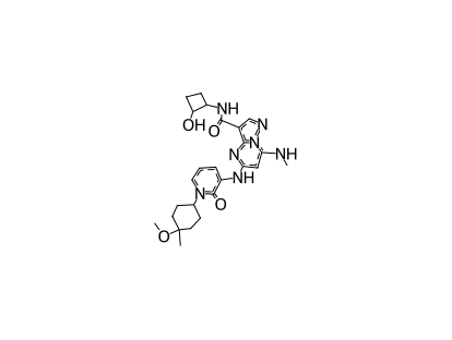 CNc1cc(Nc2cccn(C3CCC(C)(OC)CC3)c2=O)nc2c(C(=O)NC3CCC3O)cnn12